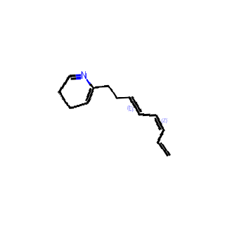 C=C/C=C\C=C\CCC1=CCCC=N1